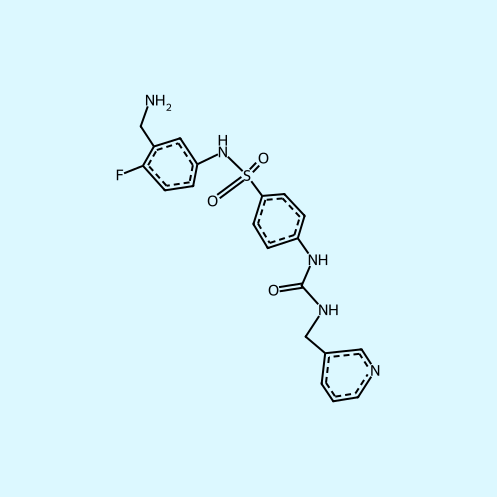 NCc1cc(NS(=O)(=O)c2ccc(NC(=O)NCc3cccnc3)cc2)ccc1F